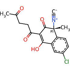 [C-]#[N+][C@@]1(C)C(=O)C(C(=O)CCC(C)=O)=C(O)c2cc(Cl)ccc21